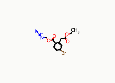 CCOC(=O)Cc1cc(Br)ccc1C(=O)OCN=[N+]=[N-]